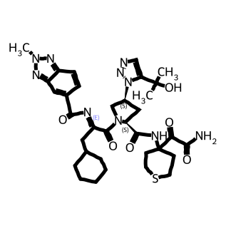 Cn1nc2ccc(C(=O)/N=C(\CC3CCCCC3)C(=O)N3C[C@@H](n4nncc4C(C)(C)O)C[C@H]3C(=O)NC3(C(=O)C(N)=O)CCSCC3)cc2n1